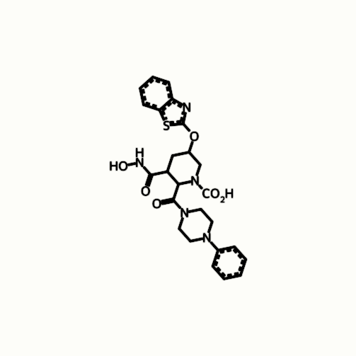 O=C(NO)C1CC(Oc2nc3ccccc3s2)CN(C(=O)O)C1C(=O)N1CCN(c2ccccc2)CC1